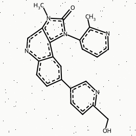 Cc1ncccc1-n1c(=O)n(C)c2cnc3ccc(-c4ccc(CO)nc4)cc3c21